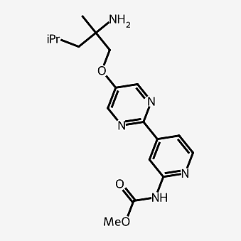 COC(=O)Nc1cc(-c2ncc(OCC(C)(N)CC(C)C)cn2)ccn1